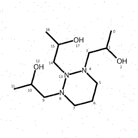 CC(O)CN1CCCN(CC(C)O)N1CC(C)O